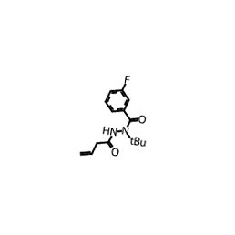 C=CCC(=O)NN(C(=O)c1cccc(F)c1)C(C)(C)C